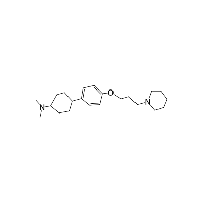 CN(C)C1CCC(c2ccc(OCCCN3CCCCC3)cc2)CC1